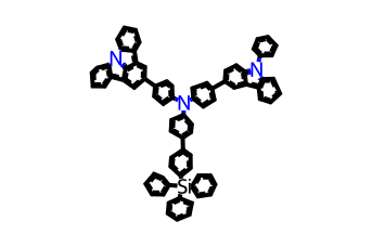 c1ccc(-n2c3ccccc3c3cc(-c4ccc(N(c5ccc(-c6ccc([Si](c7ccccc7)(c7ccccc7)c7ccccc7)cc6)cc5)c5ccc(-c6cc7c8ccccc8n8c9ccccc9c(c6)c78)cc5)cc4)ccc32)cc1